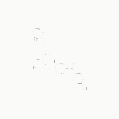 CC(C)(Oc1ccc(C(=O)c2ccc(Cl)cc2)cc1)C(=O)NCCc1ccccn1